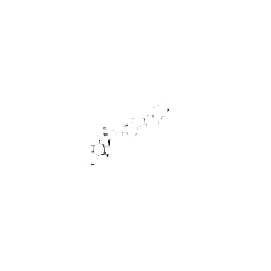 CCOc1ccc(OC(F)(F)COC2CCC(/C=C/C3CCC(C)CC3)CC2)c(F)c1C(F)(F)F